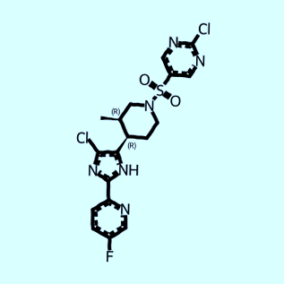 C[C@H]1CN(S(=O)(=O)c2cnc(Cl)nc2)CC[C@H]1c1[nH]c(-c2ccc(F)cn2)nc1Cl